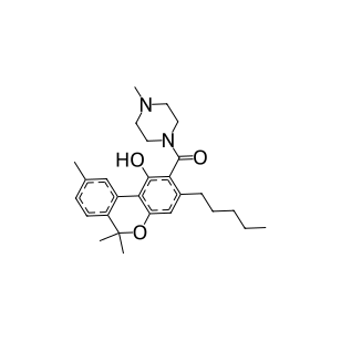 CCCCCc1cc2c(c(O)c1C(=O)N1CCN(C)CC1)-c1cc(C)ccc1C(C)(C)O2